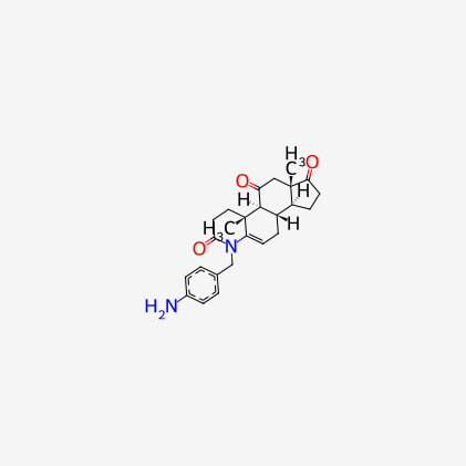 C[C@]12CCC(=O)N(Cc3ccc(N)cc3)C1=CC[C@@H]1[C@@H]2C(=O)C[C@]2(C)C(=O)CC[C@@H]12